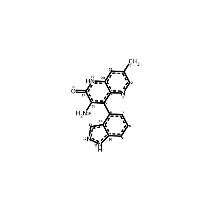 Cc1cnc2c(-c3cccc4[nH]ncc34)c(N)c(=O)[nH]c2c1